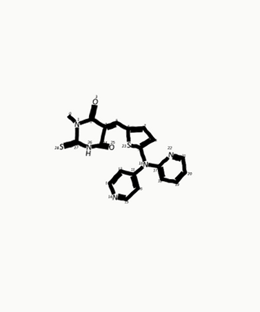 CN1C(=O)/C(=C/c2ccc(N(c3ccncc3)c3ccccn3)s2)C(=O)NC1=S